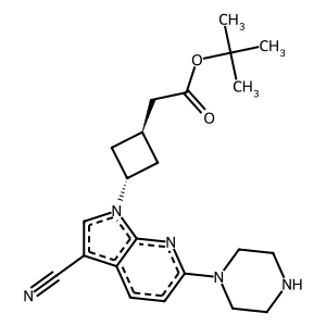 CC(C)(C)OC(=O)C[C@H]1C[C@H](n2cc(C#N)c3ccc(N4CCNCC4)nc32)C1